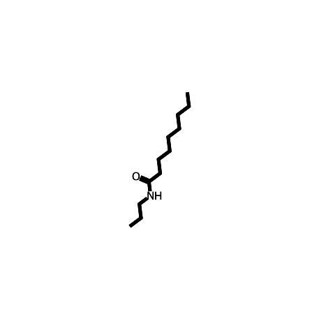 CCCCCCCCC(=O)NCCC